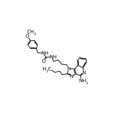 CCCCc1nc2c(N)nc3ccccc3c2n1CCCCNC(=O)NCc1ccc(OC)cc1